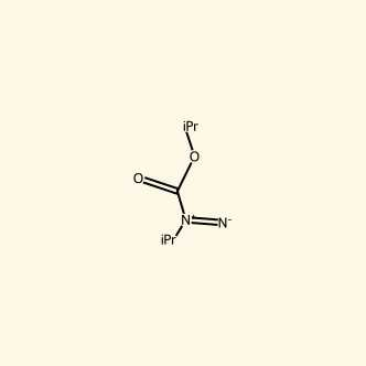 CC(C)OC(=O)[N+](=[N-])C(C)C